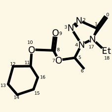 C=C1N=NN(C(C)OC(=O)OC2CCCCC2)N1CC